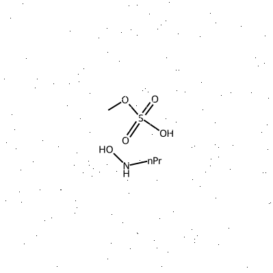 CCCNO.COS(=O)(=O)O